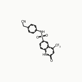 N#CCc1ccc(NS(=O)(=O)c2ccc3[nH]c(=O)cc(C(F)(F)F)c3c2)cc1